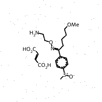 COCCCCC(=NOCCN)c1ccc([S+](C)[O-])cc1.O=C(O)C=CC(=O)O